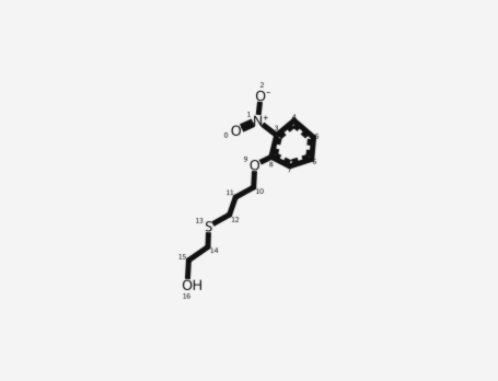 O=[N+]([O-])c1ccccc1OCCCSCCO